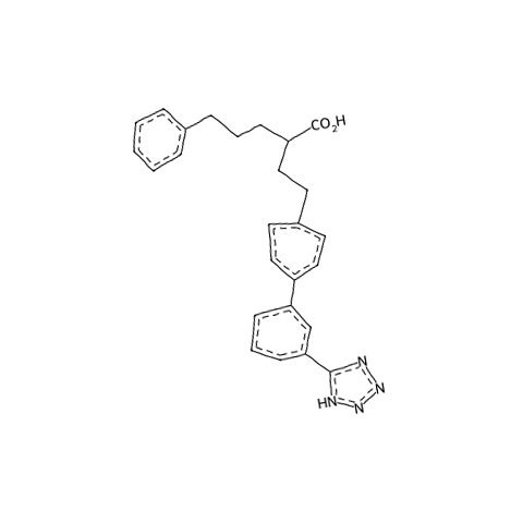 O=C(O)C(CCCc1ccccc1)CCc1ccc(-c2cccc(-c3nnn[nH]3)c2)cc1